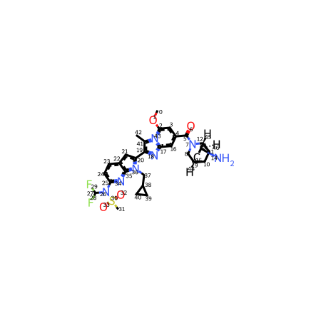 COc1cc(C(=O)N2C[C@H]3CC[C@@H]2[C@@H](N)C3)cc2nc(-c3cc4ccc(N(C(F)F)S(C)(=O)=O)nc4n3CC3CC3)c(C)n12